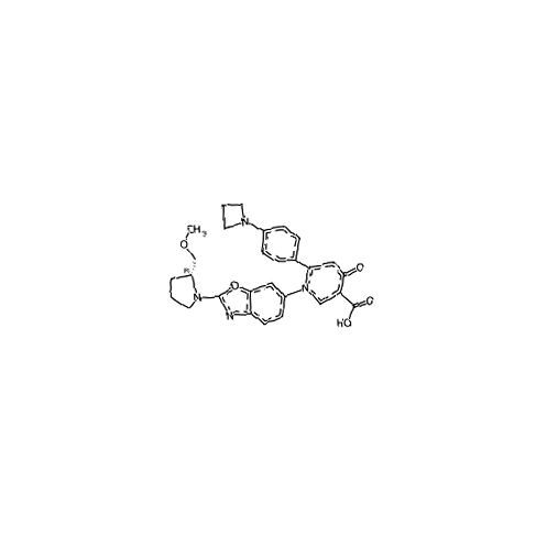 COC[C@H]1CCCN1c1nc2ccc(-n3cc(C(=O)O)c(=O)cc3-c3ccc(N4CCC4)cc3)cc2o1